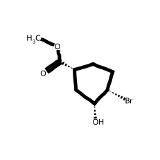 COC(=O)[C@@H]1CC[C@H](Br)[C@H](O)C1